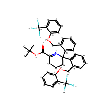 CC(C)(C)OC(=O)C1=NC(c2ccccc2COc2ccccc2C(F)(F)F)(c2ccccc2COc2ccccc2C(F)(F)F)CCC1